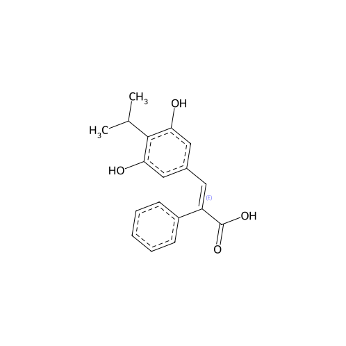 CC(C)c1c(O)cc(/C=C(/C(=O)O)c2ccccc2)cc1O